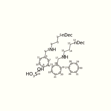 CCCCCCCCCCCCCNCc1ccccc1.CCCCCCCCCCCCCNCc1ccccc1.O=S(=O)(O)O.c1ccccc1